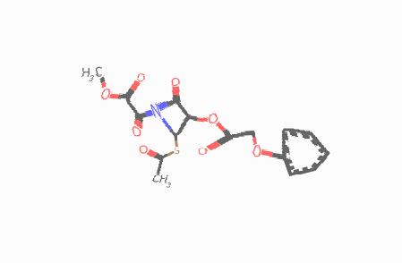 COC(=O)C(=O)N1C(=O)C(OC(=O)COc2ccccc2)C1SC(C)=O